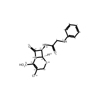 O=C(CNc1ccccc1)N[C@@H]1C(=O)N2C(C(=O)O)=C(Cl)CS[C@H]12